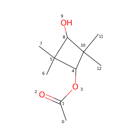 CC(=O)OC1C(C)(C)C(O)C1(C)C